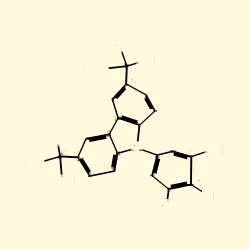 Cc1cc(-n2c3ccc(C(C)(C)C)cc3c3cc(C(C)(C)C)ccc32)cc(C)c1C